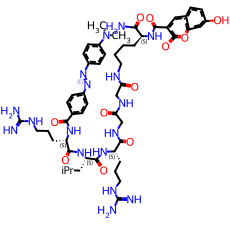 CC(C)C[C@H](NC(=O)[C@H](CCCNC(=N)N)NC(=O)c1ccc(/N=N/c2ccc(N(C)C)cc2)cc1)C(=O)N[C@@H](CCCNC(=N)N)C(=O)NCC(=O)NCC(=O)NCCCC[C@H](NC(=O)c1cc2ccc(O)cc2oc1=O)C(N)=O